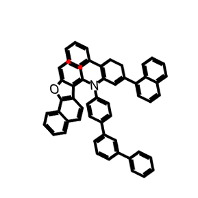 C1=C(c2cccc3ccccc23)CCC(c2ccccc2)=C1N(c1ccc(-c2cccc(-c3ccccc3)c2)cc1)c1cccc2oc3c4ccccc4ccc3c12